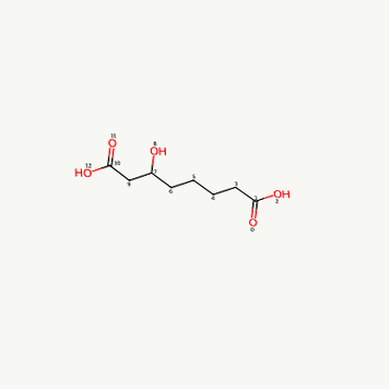 O=C(O)CCCCC(O)CC(=O)O